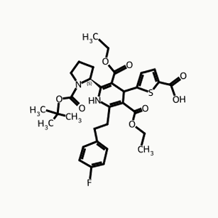 CCOC(=O)C1=C(CCc2ccc(F)cc2)NC([C@@H]2CCCN2C(=O)OC(C)(C)C)=C(C(=O)OCC)C1c1ccc(C(=O)O)s1